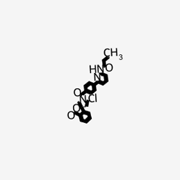 CCCC(=O)Nc1cccc(-c2ccc(C(=O)N3CC[C@@]4(C3)OC(=O)c3ccccc34)c(Cl)c2)n1